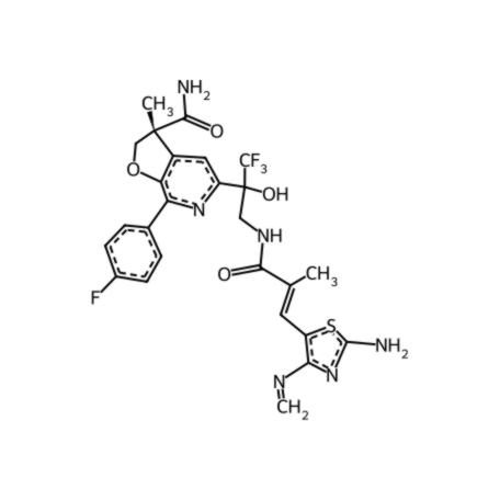 C=Nc1nc(N)sc1/C=C(\C)C(=O)NCC(O)(c1cc2c(c(-c3ccc(F)cc3)n1)OC[C@]2(C)C(N)=O)C(F)(F)F